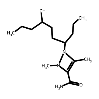 CCCC(C)CCC(CCC)n1c(C)c(C(N)=O)n1C